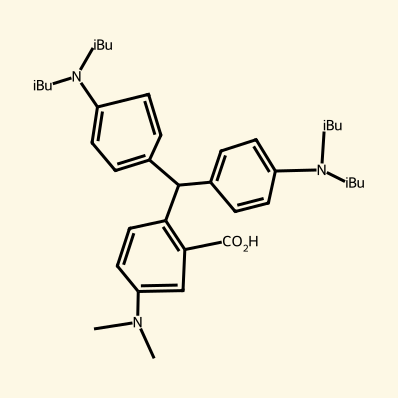 CCC(C)N(c1ccc(C(c2ccc(N(C(C)CC)C(C)CC)cc2)c2ccc(N(C)C)cc2C(=O)O)cc1)C(C)CC